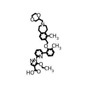 CCOc1c(C(=O)O)cnn1-c1cccc(-c2cccc(C)c2OCc2ccc3c(c2C)CCN(CC2COCCO2)CC3)n1